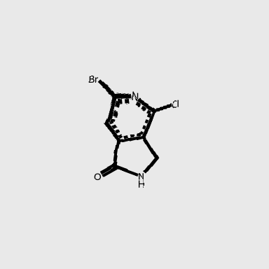 O=C1NCc2c1cc(Br)nc2Cl